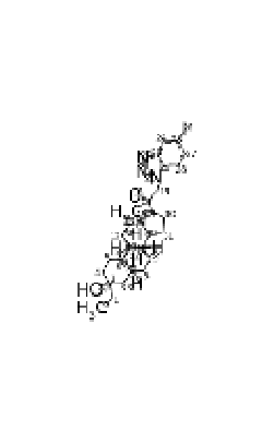 CC[C@@]1(O)CC[C@H]2[C@@H](CC[C@@H]3[C@@H]2CC[C@]2(C)[C@@H](C(=O)Cn4nnc5cc(I)ccc54)CC[C@@H]32)C1